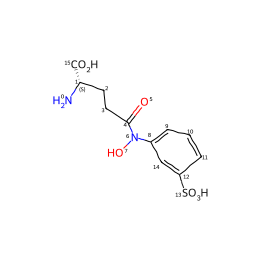 N[C@@H](CCC(=O)N(O)c1cccc(S(=O)(=O)O)c1)C(=O)O